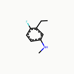 CCc1cc(NC)ccc1F